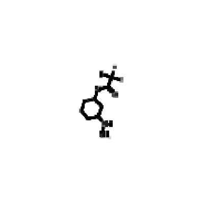 CNC1CCCC(OC(=O)C(F)(F)F)C1